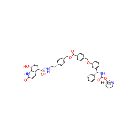 O=C(NC(c1ccccc1)c1cccc(OCc2ccc(C(=O)OCc3ccc(CCNC[C@H](O)c4ccc(O)c5[nH]c(=O)ccc45)cc3)cc2)c1)O[C@H]1CN2CCC1CC2